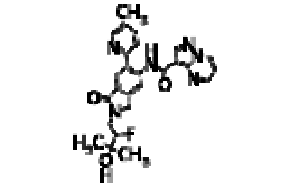 Cc1ccc(-c2cc3c(cc2NC(=O)c2cnn4cccnc24)CN(C[C@@H](F)C(C)(C)O)C3=O)nc1